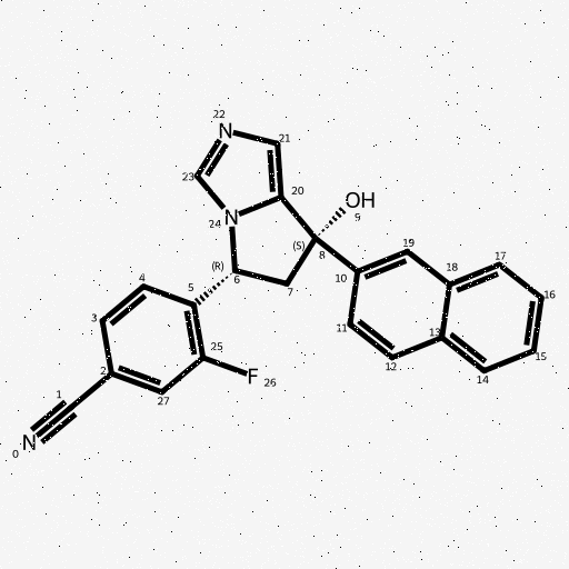 N#Cc1ccc([C@H]2C[C@](O)(c3ccc4ccccc4c3)c3cncn32)c(F)c1